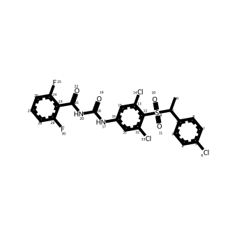 CC(c1ccc(Cl)cc1)S(=O)(=O)c1c(Cl)cc(NC(=O)NC(=O)c2c(F)cccc2F)cc1Cl